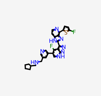 Fc1ccc(-c2nccc3[nH]c(-c4n[nH]c5ncc(-c6cncc(CNCC7CCCC7)c6)c(F)c45)nc23)s1